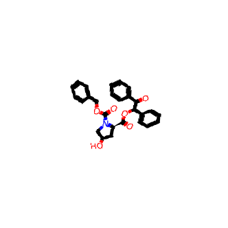 O=C(c1ccccc1)C(OC(=O)[C@H]1CC(O)CN1C(=O)OCc1ccccc1)c1ccccc1